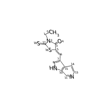 CCN1C(=O)/C(=C/c2c[nH]c3cnccc23)SC1=S